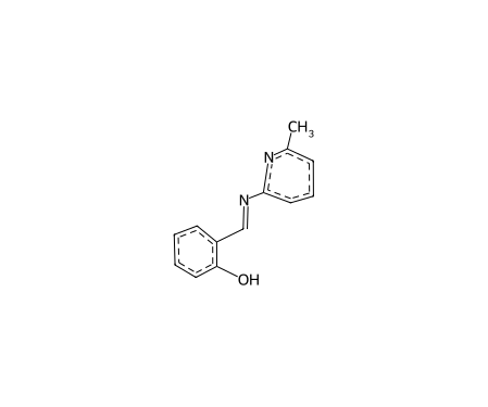 Cc1cccc(/N=C/c2ccccc2O)n1